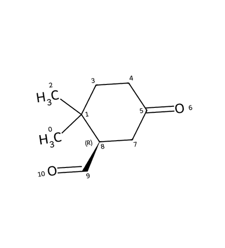 CC1(C)CCC(=O)C[C@H]1C=O